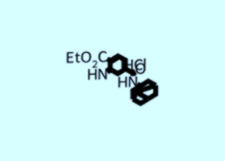 CCOC(=O)C1=CC=C(C(=O)NC23CC4CC(CC(C4)C2)C3)CC1=N.Cl